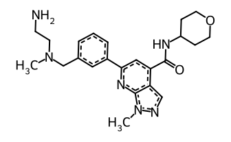 CN(CCN)Cc1cccc(-c2cc(C(=O)NC3CCOCC3)c3cnn(C)c3n2)c1